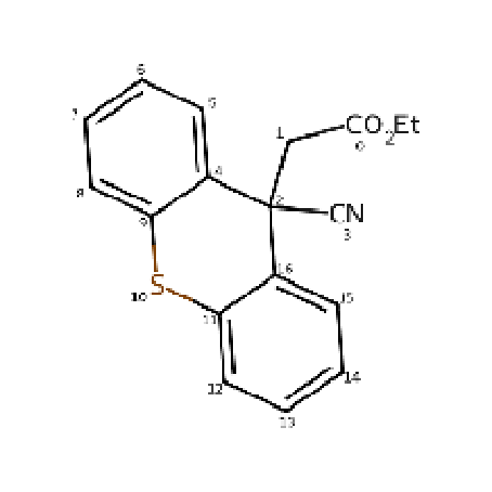 CCOC(=O)CC1(C#N)c2ccccc2Sc2ccccc21